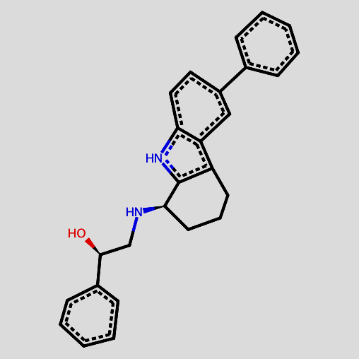 O[C@@H](CN[C@@H]1CCCc2c1[nH]c1ccc(-c3ccccc3)cc21)c1ccccc1